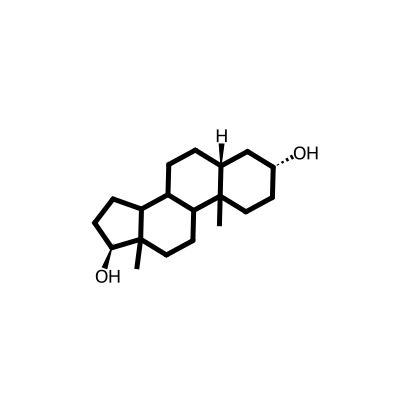 CC12CC[C@@H](O)C[C@H]1CCC1C2CCC2(C)C1CC[C@@H]2O